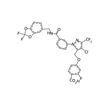 O=C(NCc1ccc2c(c1)OC(F)(F)O2)c1cccc(-n2nc(C(F)(F)F)c(Cl)c2COc2ccc(C(=O)O)c(F)c2)c1